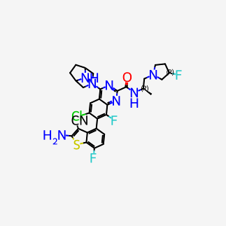 C[C@H](CN1CC[C@@H](F)C1)NC(=O)c1nc(N2CC3CCC(C2)N3)c2cc(Cl)c(-c3ccc(F)c4sc(N)c(C#N)c34)c(F)c2n1